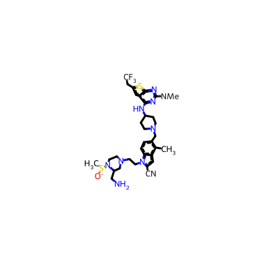 CNc1nc(NC2CCN(Cc3ccc4c(cc(C#N)n4CCN4CCN([S+](C)[O-])C(CN)C4)c3C)CC2)c2cc(CC(F)(F)F)sc2n1